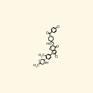 Cc1cc(-n2c(Cl)cc3c(=O)n(CC4(O)CCN(C(=O)c5ccc(Cl)cc5)CC4)cnc32)ccc1[C@H]1CO[C@H](C)CN1